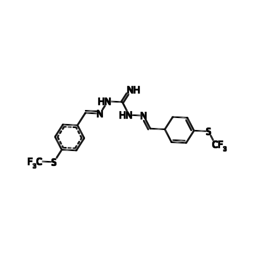 N=C(N/N=C/c1ccc(SC(F)(F)F)cc1)N/N=C/C1C=CC(SC(F)(F)F)=CC1